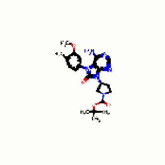 COc1cc(-n2c(=O)n(C3CCN(C(=O)OC(C)(C)C)C3)c3ncnc(N)c32)ccc1C